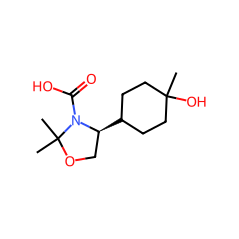 CC1(O)CCC([C@H]2COC(C)(C)N2C(=O)O)CC1